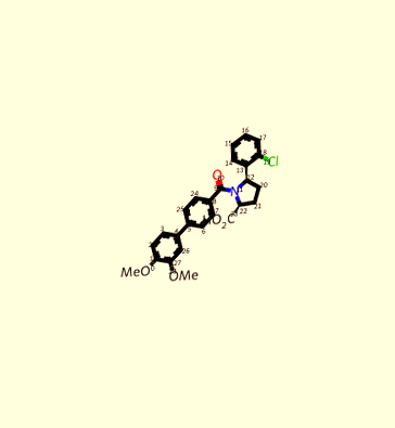 COc1ccc(-c2ccc(C(=O)N3[C@@H](c4ccccc4Cl)CC[C@H]3C(=O)O)cc2)cc1OC